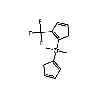 [CH3][Zr]([CH3])([C]1=CC=CC1)[C]1=C(C(F)(F)F)C=CC1